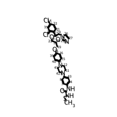 CSNC(=O)Nc1ccc(N2CCN(c3ccc(OCC4COC(Cn5ccnc5)(c5ccc(Cl)cc5Cl)O4)cc3)CC2)cc1